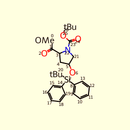 COC(=O)C1CC(O[Si](c2ccccc2)(c2ccccc2)C(C)(C)C)CN1C(=O)OC(C)(C)C